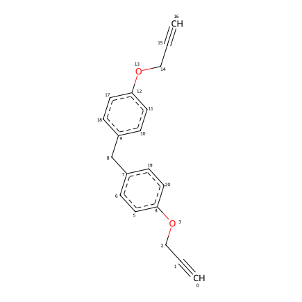 C#CCOc1ccc(Cc2ccc(OCC#C)cc2)cc1